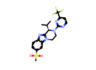 CC(C)[C@@H]1c2nc3ccc(S(C)(=O)=O)cc3n2CCN1c1nccc(C(F)(F)F)n1